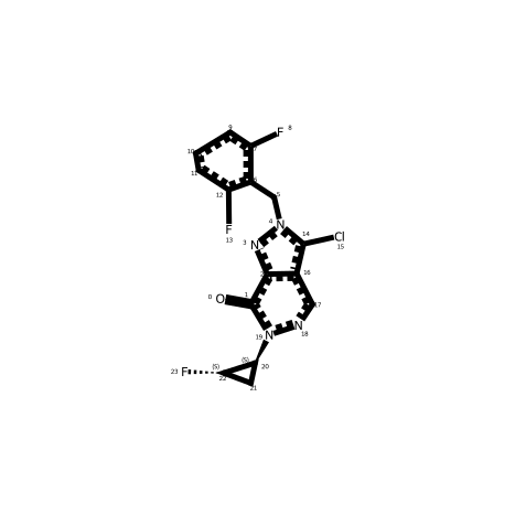 O=c1c2nn(Cc3c(F)cccc3F)c(Cl)c2cnn1[C@H]1C[C@@H]1F